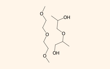 CC(O)COC(C)CO.COCCOCCOC